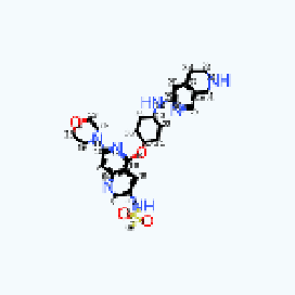 CS(=O)(=O)Nc1cnc2cc(N3CCOCC3)nc(OC3CCC(Nc4cc5c(cn4)CNCC5)CC3)c2c1